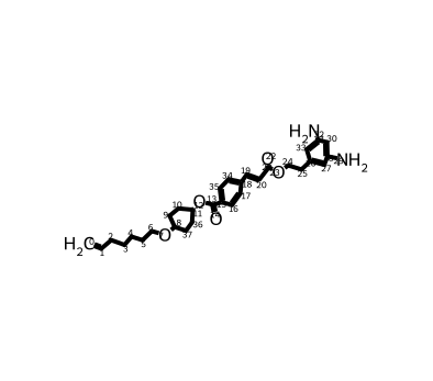 C=CCCCCCOC1CCC(OC(=O)c2ccc(/C=C/C(=O)OCCc3cc(N)cc(N)c3)cc2)CC1